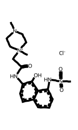 CN1CC[N+](C)(CC(=O)Nc2ccc3cccc(NS(C)(=O)=O)c3c2O)CC1.[Cl-]